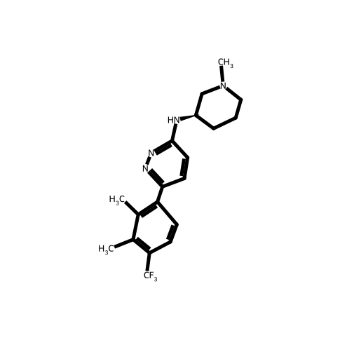 Cc1c(-c2ccc(N[C@@H]3CCCN(C)C3)nn2)ccc(C(F)(F)F)c1C